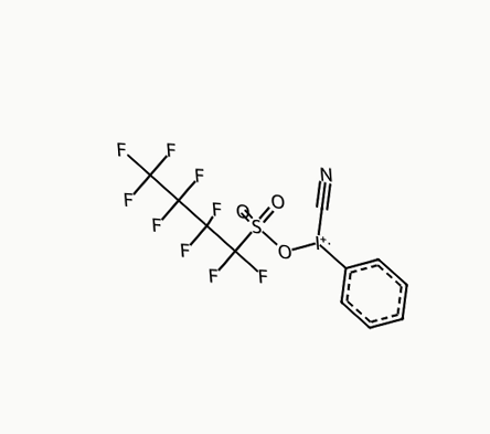 N#C[I+](OS(=O)(=O)C(F)(F)C(F)(F)C(F)(F)C(F)(F)F)c1ccccc1